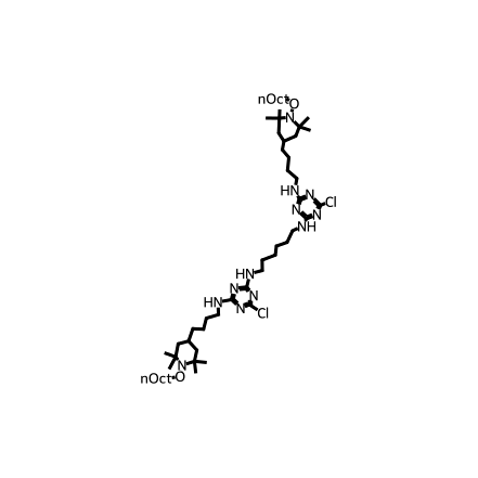 CCCCCCCCON1C(C)(C)CC(CCCCNc2nc(Cl)nc(NCCCCCCNc3nc(Cl)nc(NCCCCC4CC(C)(C)N(OCCCCCCCC)C(C)(C)C4)n3)n2)CC1(C)C